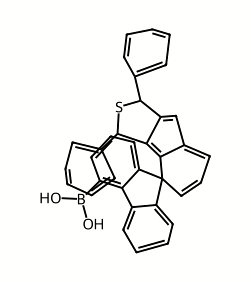 OB(O)c1cccc2c1-c1ccccc1C21C=CC=C2C=C3C(=C21)C(c1ccccc1)SC3c1ccccc1